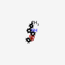 Cc1ccc(-c2cccc3c4c([nH]c23)CCC(OS(=O)(=O)c2ccccc2)C4)cc1